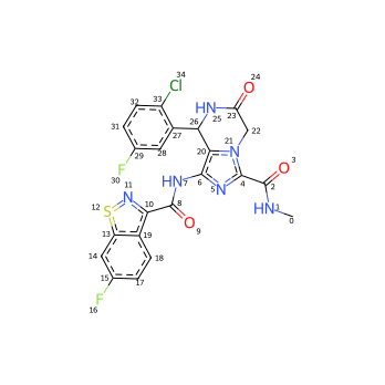 CNC(=O)c1nc(NC(=O)c2nsc3cc(F)ccc23)c2n1CC(=O)NC2c1cc(F)ccc1Cl